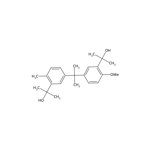 COc1ccc(C(C)(C)c2ccc(C)c(C(C)(C)O)c2)cc1C(C)(C)O